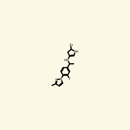 CCC1CC(NC(C)c2ccc(-n3ccc(C)n3)c(F)c2)=CN1